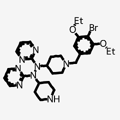 CCOc1cc(CN2CCC(N(c3ncccn3)N(c3ncccn3)C3CCNCC3)CC2)cc(OCC)c1Br